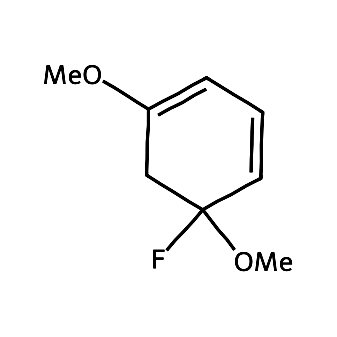 COC1=CC=CC(F)(OC)C1